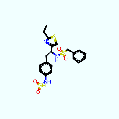 CCc1nc([C@H](Cc2ccc(N[SH](=O)=O)cc2)NS(=O)(=O)Cc2ccccc2)cs1